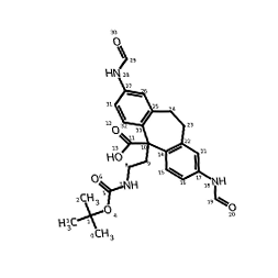 CC(C)(C)OC(=O)NCCC1(C(=O)O)c2ccc(NC=O)cc2CCc2cc(NC=O)ccc21